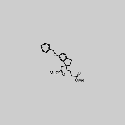 COC(=O)CCCC1(CC(=O)OC)CCc2ccc(OCc3ccccc3)cc21